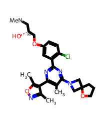 CNC[C@@H](O)COc1ccc(Cl)c(-c2nc(-c3c(C)noc3C)c(C)c(N3CC4(CCCO4)C3)n2)c1